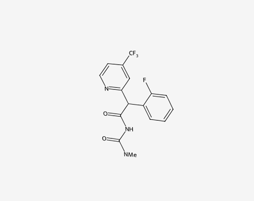 CNC(=O)NC(=O)C(c1cc(C(F)(F)F)ccn1)c1ccccc1F